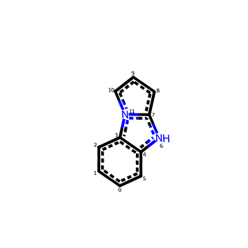 c1ccc2c(c1)[nH]c1cccn12